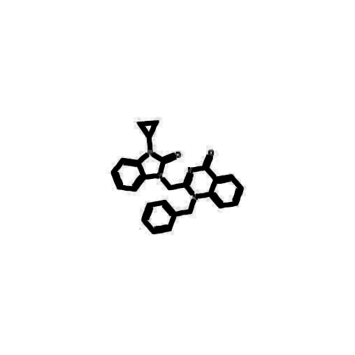 O=c1nc(Cn2c(=O)n(C3CC3)c3ccccc32)n(Cc2ccccc2)c2ccccc12